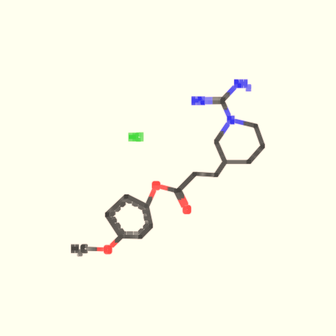 COc1ccc(OC(=O)CCC2CCCN(C(=N)N)C2)cc1.Cl